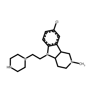 CN1CCC2C(C1)c1cc(Cl)ccc1N2CCN1CCNCC1